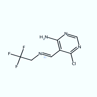 Nc1ncnc(Cl)c1/C=N/CC(F)(F)F